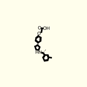 Cc1cccc([C@@H](C)NC2CC[C@@H](c3ccc(OCC(=O)O)cc3)C2)c1